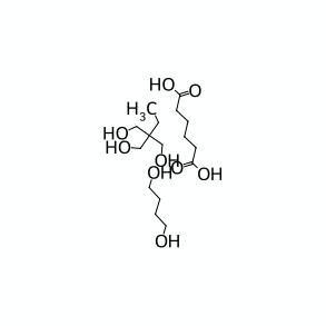 CCC(CO)(CO)CO.O=C(O)CCCCC(=O)O.OCCCCO